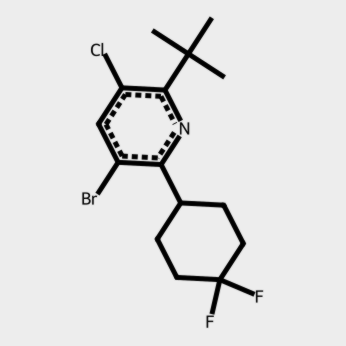 CC(C)(C)c1nc(C2CCC(F)(F)CC2)c(Br)cc1Cl